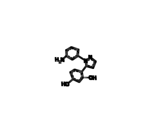 Nc1cccc(-n2nccc2-c2ccc(O)cc2O)c1